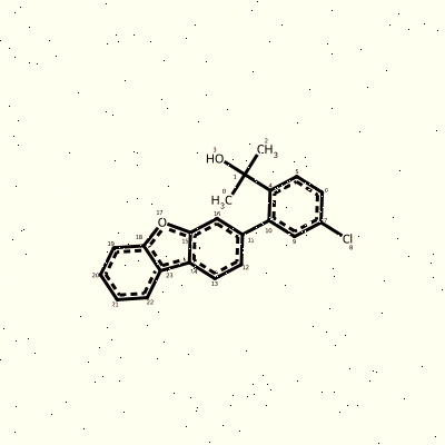 CC(C)(O)c1ccc(Cl)cc1-c1ccc2c(c1)oc1ccccc12